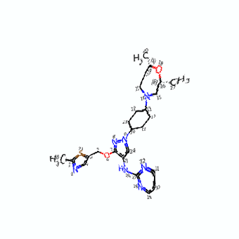 Cc1ncc(COc2nn(C3CCC(N4C[C@@H](C)O[C@@H](C)C4)CC3)cc2Nc2ncccn2)s1